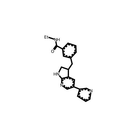 CCNC(=O)c1cccc(CC2CNc3ncc(-c4cccnc4)cc32)c1